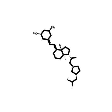 CC(CN1CC[C@@H](CC(F)F)C1)[C@H]1CC[C@H]2/C(=C/C=C3/C[C@@H](O)C[C@@H](O)C3)CCC[C@]12C